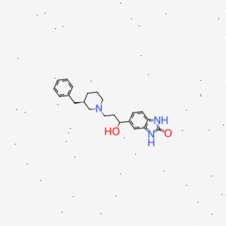 O=c1[nH]c2ccc(C(O)CCN3CCC[C@H](Cc4ccccc4)C3)cc2[nH]1